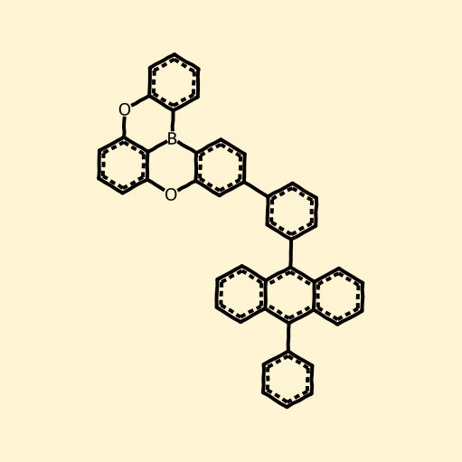 c1ccc(-c2c3ccccc3c(-c3cccc(-c4ccc5c(c4)Oc4cccc6c4B5c4ccccc4O6)c3)c3ccccc23)cc1